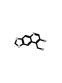 BrCc1c(Br)cnc2cc3c(cc12)OCO3